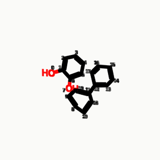 Oc1ccccc1O.c1ccc(-c2ccccc2)cc1